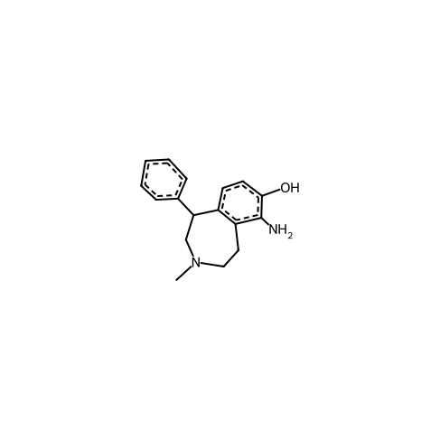 CN1CCc2c(ccc(O)c2N)C(c2ccccc2)C1